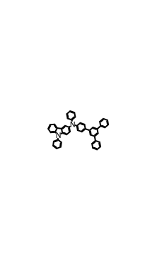 c1ccc(-c2cc(-c3ccccc3)cc(-c3ccc(N(c4ccccc4)c4ccc5c(c4)c4ccccc4n5-c4ccccc4)cc3)c2)cc1